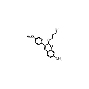 CC(=O)Oc1ccc(C2=Cc3ccc(C)cc3OC2OCCCBr)cc1